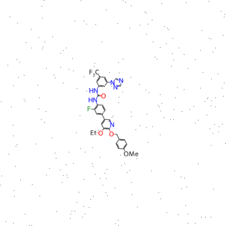 CCOc1cc(-c2ccc(NC(=O)Nc3cc(-n4cncn4)cc(C(F)(F)F)c3)c(F)c2)cnc1OCc1ccc(OC)cc1